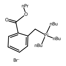 CCCC[P+](CCCC)(CCCC)Cc1ccccc1C(=O)OCCC.[Br-]